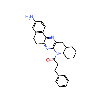 Nc1ccc2c(c1)CCc1nc(NC(=O)CCc3ccccc3)c(CC3CCCCC3)nc1-2